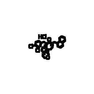 Cl.O=C1[C@H](Cc2ccc(Cl)c(Cl)c2)N(CCN2CCOCC2)C(=O)CCN1Cc1cccc2ccccc12